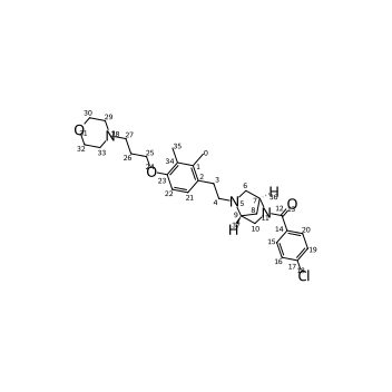 Cc1c(CCN2C[C@@H]3C[C@@H]2CN3C(=O)c2ccc(Cl)cc2)ccc(OCCCN2CCOCC2)c1C